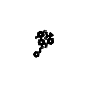 NC(=O)C1(c2cc(Nc3cc(-c4cc(Cl)ccc4F)nnc3OCCN3CCCC3)ccn2)CC1